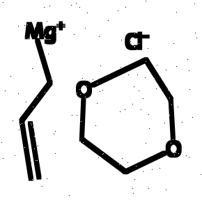 C1COCCO1.C=C[CH2][Mg+].[Cl-]